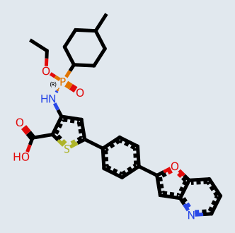 CCO[P@@](=O)(Nc1cc(-c2ccc(-c3cc4ncccc4o3)cc2)sc1C(=O)O)C1CCC(C)CC1